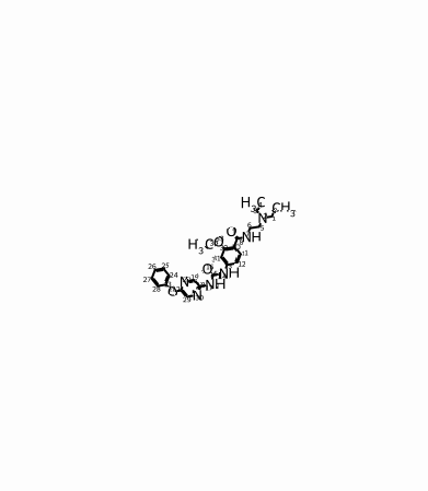 CCN(CC)CCNC(=O)c1ccc(NC(=O)Nc2cnc(Oc3ccccc3)cn2)cc1OC